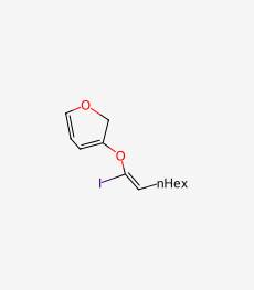 CCCCCC/C=C(/I)OC1=CC=COC1